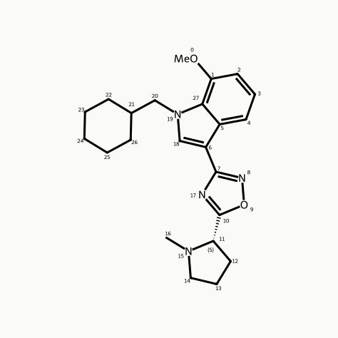 COc1cccc2c(-c3noc([C@@H]4CCCN4C)n3)cn(CC3CCCCC3)c12